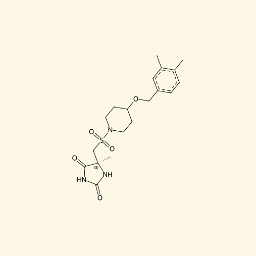 Cc1ccc(COC2CCN(S(=O)(=O)C[C@@]3(C)NC(=O)NC3=O)CC2)cc1C